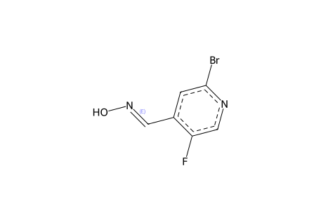 O/N=C/c1cc(Br)ncc1F